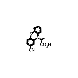 C[C@@H](C(=O)O)N1c2ccccc2Sc2ccc(C#N)cc21